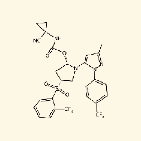 Cc1cc(N2C[C@H](S(=O)(=O)c3ccccc3C(F)(F)F)C[C@@H]2OC(=O)NC2(C#N)CC2)n(-c2ccc(C(F)(F)F)cc2)n1